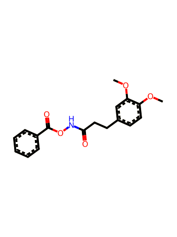 COc1ccc(CCC(=O)NOC(=O)c2ccccc2)cc1OC